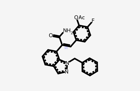 CC(=O)Oc1cc(/C=C(\C(N)=O)c2cccc3cnn(Cc4ccccc4)c23)ccc1F